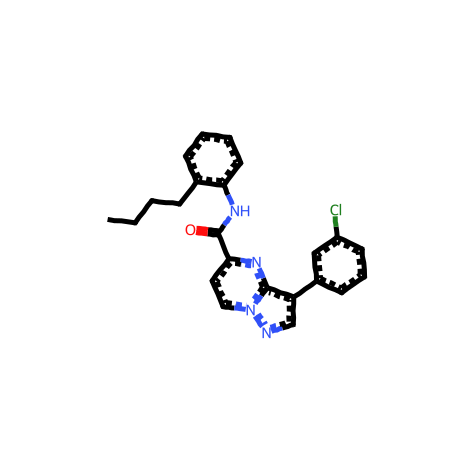 CCCCc1ccccc1NC(=O)c1ccn2ncc(-c3cccc(Cl)c3)c2n1